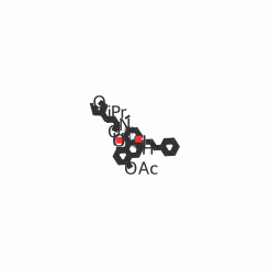 CC(=O)Oc1ccc2c3c1C[C@@H]1[C@@H]4CC[C@@H](N(CC(C)C)C(=O)C=Cc5ccoc5)[C@@H](O2)[C@]34CCN1CCc1ccccc1